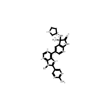 CCn1c(-c2cnc(C)nc2)nc2c(-c3cnc4c(c3)[C@](C)(N[C@H]3CCOC3)C(=O)N4)ncnc21